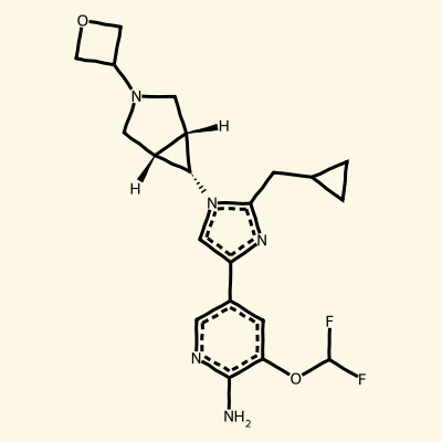 Nc1ncc(-c2cn([C@@H]3[C@@H]4CN(C5COC5)C[C@@H]43)c(CC3CC3)n2)cc1OC(F)F